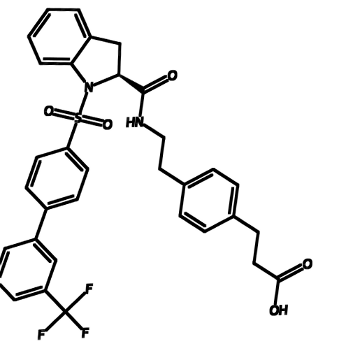 O=C(O)CCc1ccc(CCNC(=O)[C@@H]2Cc3ccccc3N2S(=O)(=O)c2ccc(-c3cccc(C(F)(F)F)c3)cc2)cc1